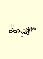 CNS(=O)(=O)c1cccc(CC(O)NCCOc2ccc3c(c2)[nH]c2ccccc23)c1